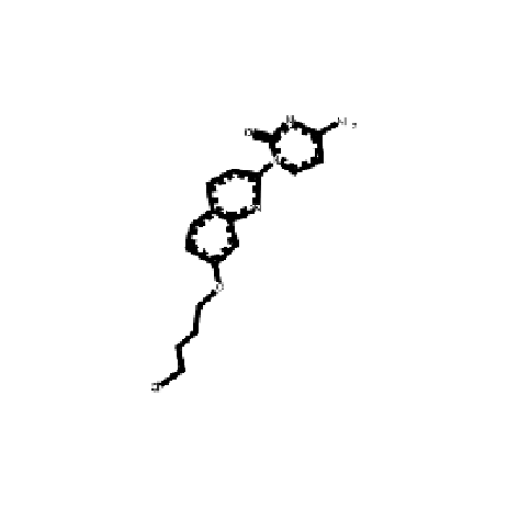 Nc1ccn(-c2ccc3ccc(OCCCCCl)cc3n2)c(=O)n1